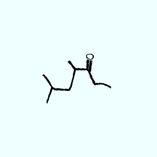 CCC(=O)C(C)CC(C)C